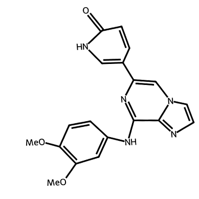 COc1ccc(Nc2nc(-c3ccc(=O)[nH]c3)cn3ccnc23)cc1OC